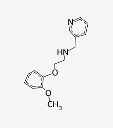 COc1ccccc1OCCNCc1cccnc1